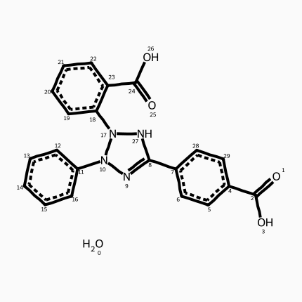 O.O=C(O)c1ccc(C2=NN(c3ccccc3)N(c3ccccc3C(=O)O)N2)cc1